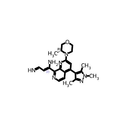 Cc1nn(C)c(C)c1-c1cc(N2CCOC[C@H]2C)nc2c(/C(N)=C/C=N)nccc12